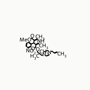 CC=CCN1CCN(CC(C)(C)COC(=O)C2=C(C)NC(C)=C(C(=O)OC)C2c2cccc([N+](=O)[O-])c2)CC1